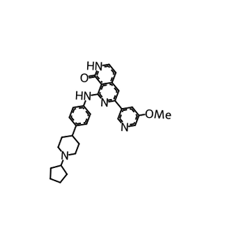 COc1cncc(-c2cc3cc[nH]c(=O)c3c(Nc3ccc(C4CCN(C5CCCC5)CC4)cc3)n2)c1